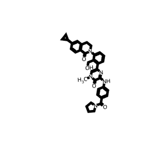 Cn1cc(-c2cccc(N3CCc4cc(C5CC5)ccc4C3=O)c2CO)nc(Nc2ccc(C(=O)N3CCCC3)cc2)c1=O